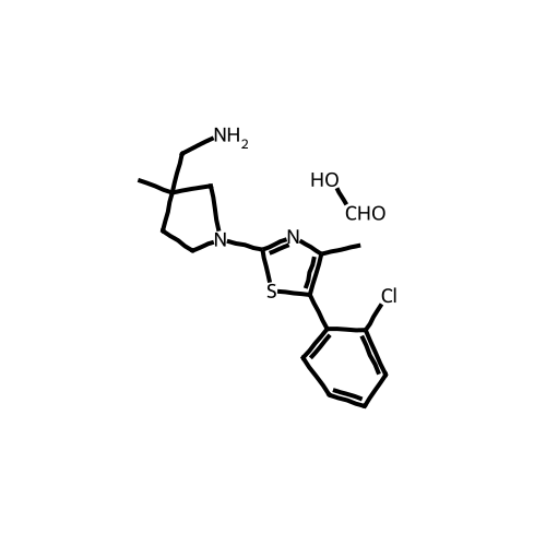 Cc1nc(N2CCC(C)(CN)C2)sc1-c1ccccc1Cl.O=CO